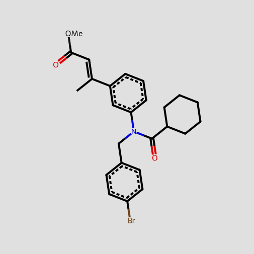 COC(=O)/C=C(\C)c1cccc(N(Cc2ccc(Br)cc2)C(=O)C2CCCCC2)c1